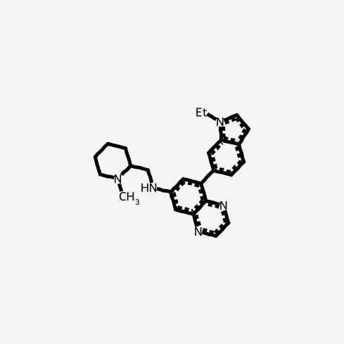 CCn1ccc2ccc(-c3cc(NCC4CCCCN4C)cc4nccnc34)cc21